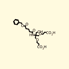 O=C(O)CCOCC(CO)(COCCC(=O)O)NC(=O)CCCC(=O)OCc1ccccc1